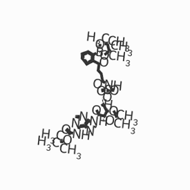 CC(C)(C)OC(=O)Nc1ncnc2c1ncn2[C@@H]1O[C@H](COS(=O)(=O)NC(=O)CCC(=O)c2ccccc2B2OC(C)(C)C(C)(C)O2)[C@H]2OC(C)(C)O[C@H]21